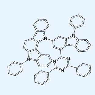 c1ccc(-c2nc(-c3ccccc3)nc(-c3cc(-n4c5ccccc5c5ccc6c(c7ccccc7n6-c6ccccc6)c54)cc4c3c3ccccc3n4-c3ccccc3)n2)cc1